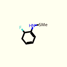 CSNC1=CC=CCC1F